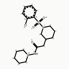 O=C(CC1CCCN(S(=O)(=O)c2ccccc2Cl)C1)NN1CCCCC1